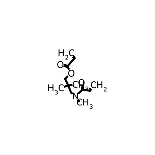 C=CC(=O)OCC(C)(C)CN(C)C(=O)C=C